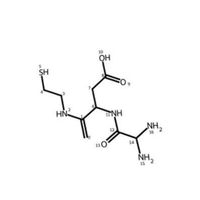 C=C(NCCS)C(CC(=O)O)NC(=O)C(N)N